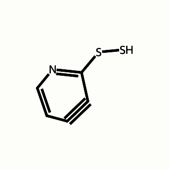 SSc1c#cccn1